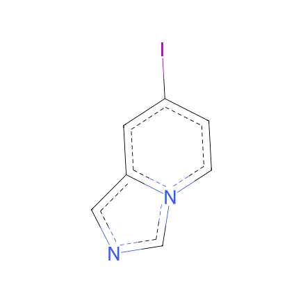 Ic1ccn2cncc2c1